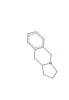 c1ccc2c(c1)CC1CCCN1C2